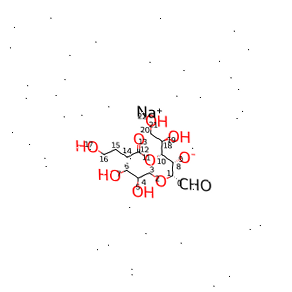 O=C[C@H](OCC(O)CO)[C@@H]([O-])[C@H](OC(=O)CCCO)[C@H](O)CO.[Na+]